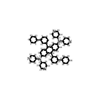 c1ccc(-c2cccc(-c3c4ccc(N(c5ccncc5)c5ccncc5)cc4c(-c4cccc(-c5ccccc5)c4)c4ccc(N(c5ccncc5)c5ccncc5)cc34)c2)cc1